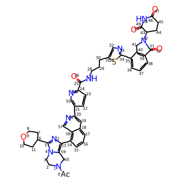 CC(=O)N1CCn2c(C3CCOCC3)nc(-c3cccc4cc(-c5ccc(C(=O)NCCCc6cnc(-c7cccc8c7CN(C7CCC(=O)NC7=O)C8=O)s6)nc5)ncc34)c2C1